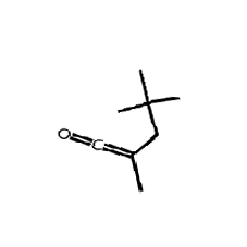 CC(=C=O)CC(C)(C)C